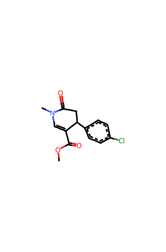 COC(=O)C1=CN(C)C(=O)CC1c1ccc(Cl)cc1